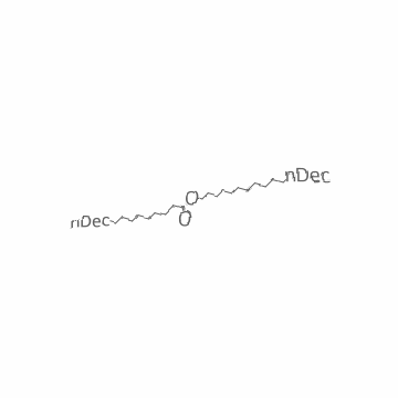 CCCCCCCCCCCCCCCCCCCCCOC(=O)CCCCCCCCCCCCCCCCCC